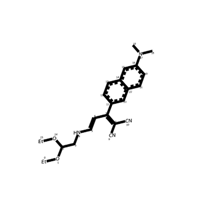 CCOC(CNC=CC(=C(C#N)C#N)c1ccc2cc(N(C)C)ccc2c1)OCC